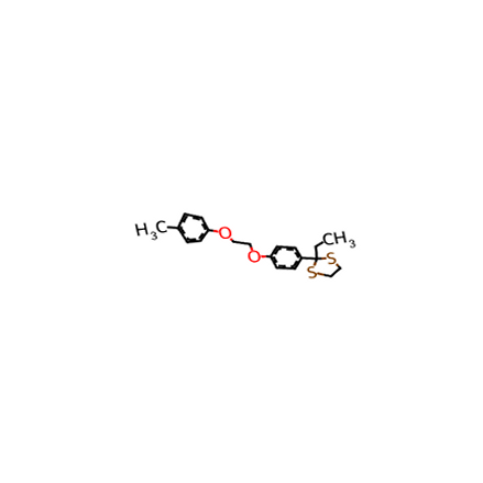 CCC1(c2ccc(OCCOc3ccc(C)cc3)cc2)SCCS1